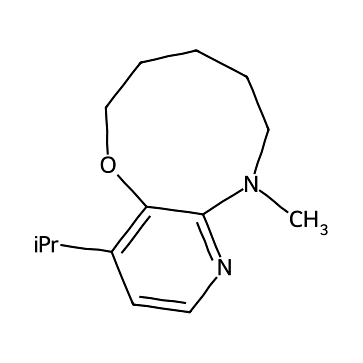 CC(C)c1ccnc2c1OCCCCCN2C